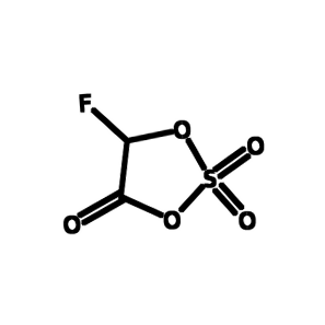 O=C1OS(=O)(=O)OC1F